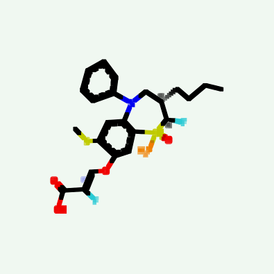 CCCC[C@H]1CN(c2ccccc2)c2cc(SC)c(O/C=C(\F)C(=O)O)cc2[SH](=O)(P)[C@@H]1F